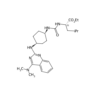 CCOC(=O)[C@H](CC(C)C)NC(=O)N[C@H]1CC[C@@H](Nc2nc(N(C)C)c3ccccc3n2)CC1